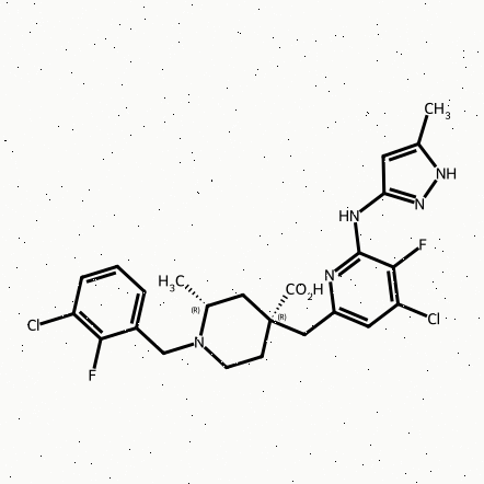 Cc1cc(Nc2nc(C[C@@]3(C(=O)O)CCN(Cc4cccc(Cl)c4F)[C@H](C)C3)cc(Cl)c2F)n[nH]1